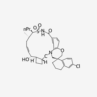 CCC[C@@H]1[C@@H](C)C/C=C\[C@@H](O)[C@@H]2CC[C@H]2CN2C[C@@]3(CCCc4cc(Cl)ccc43)COc3ccc(cc32)C(=O)NS1(=O)=O